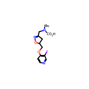 CC(C)(C)N(CC1=NOC(COc2ccncc2I)C1)C(=O)O